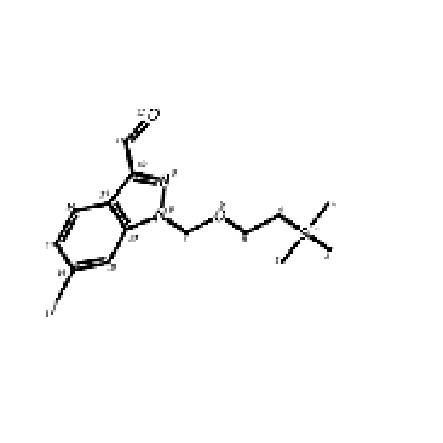 C[Si](C)(C)CCOCn1nc(C=O)c2ccc(I)cc21